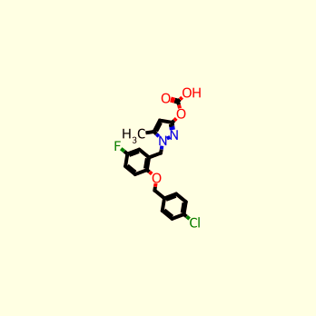 Cc1cc(OC(=O)O)nn1Cc1cc(F)ccc1OCc1ccc(Cl)cc1